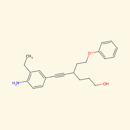 CCc1cc(C#CC(CCCO)CCOc2ccccc2)ccc1N